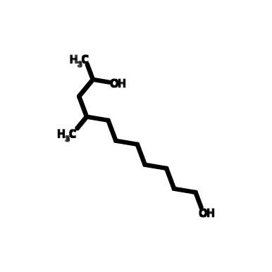 CC(O)CC(C)CCCCCCCO